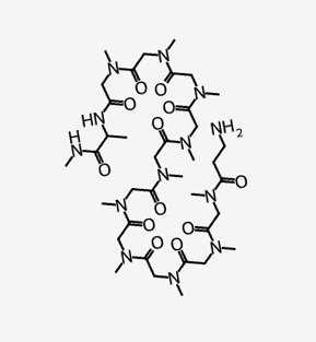 CNC(=O)C(C)NC(=O)CN(C)C(=O)CN(C)C(=O)CN(C)C(=O)CN(C)C(=O)CN(C)C(=O)CN(C)C(=O)CN(C)C(=O)CN(C)C(=O)CN(C)C(=O)CN(C)C(=O)CCN